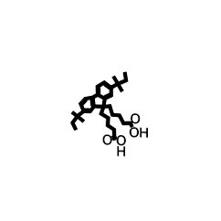 CCC(C)(C)c1ccc2c(c1)C(CCCCC(=O)O)(CCCCC(=O)O)c1cc(C(C)(C)CC)ccc1-2